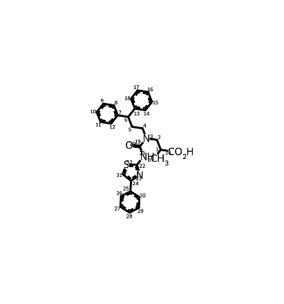 CC(CN(CCC(c1ccccc1)c1ccccc1)C(=O)Nc1nc(-c2ccccc2)cs1)C(=O)O